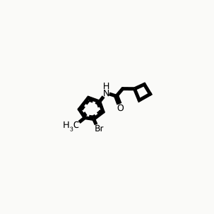 Cc1ccc(NC(=O)CC2CCC2)cc1Br